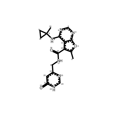 Cc1oc2ncnc(NC3(C)CC3)c2c1C(=O)NCc1cc(=O)[nH]cn1